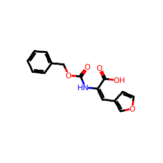 O=C(N/C(=C/c1ccoc1)C(=O)O)OCc1ccccc1